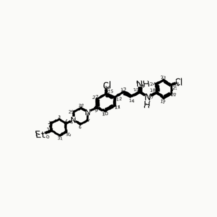 CCC1CCC(N2CCN(c3ccc(/C=C/C(=N)Nc4ccc(Cl)cc4)c(Cl)c3)CC2)CC1